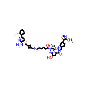 Cc1ncsc1-c1ccc(CNC(=O)[C@@H]2C[C@@H](O)CN2C(=O)[C@@H](NC(=O)CCCCC(=O)NCC23CC(COc4cc(-c5ccccc5O)nnc4N)(C2)C3)C(C)(C)C)cc1